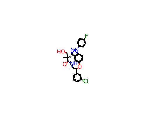 C[C@H](NC(=O)C(C)(C)CO)C(Oc1ccc2c(cnn2-c2ccc(F)cc2)c1)c1cccc(Cl)c1